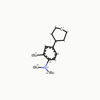 CC(C)(C)c1cc(C2CCCCC2)ccc1N(C(C)(C)C)C(C)(C)C